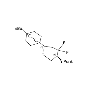 CCCCC[C@H]1CC[C@H](C23CCC(CCCC)(CC2)CC3)CC1(F)F